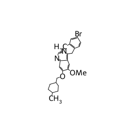 COc1cc2c(Cc3ccc(Br)cc3C)ncnc2cc1OCC1CCC(C)CC1